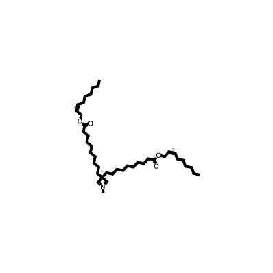 CCCCCC/C=C\COC(=O)CCCCCCCCCC1(CCCCCCCCCC(=O)OC/C=C\CCCCCC)CN(C)C1